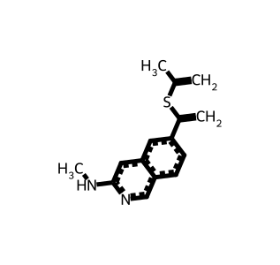 C=C(C)SC(=C)c1ccc2cnc(NC)cc2c1